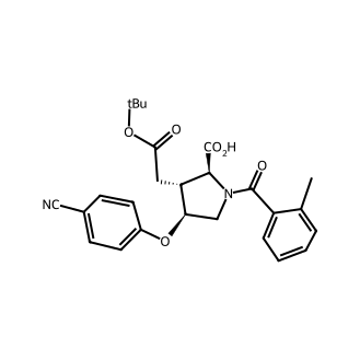 Cc1ccccc1C(=O)N1C[C@@H](Oc2ccc(C#N)cc2)[C@H](CC(=O)OC(C)(C)C)[C@H]1C(=O)O